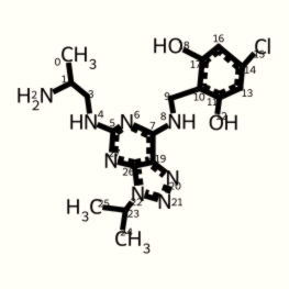 CC(N)CNc1nc(NCc2c(O)cc(Cl)cc2O)c2nnn(C(C)C)c2n1